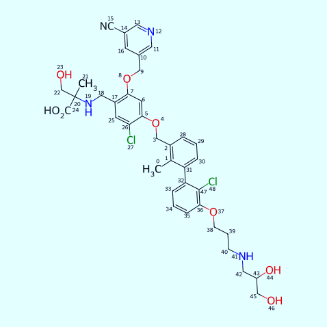 Cc1c(COc2cc(OCc3cncc(C#N)c3)c(CNC(C)(CO)C(=O)O)cc2Cl)cccc1-c1cccc(OCCCNCC(O)CO)c1Cl